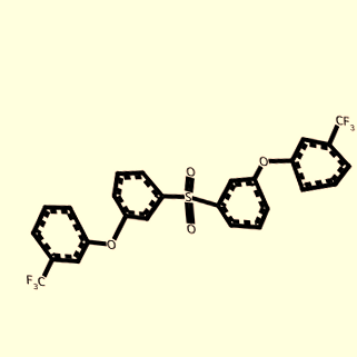 O=S(=O)(c1cccc(Oc2cccc(C(F)(F)F)c2)c1)c1cccc(Oc2cccc(C(F)(F)F)c2)c1